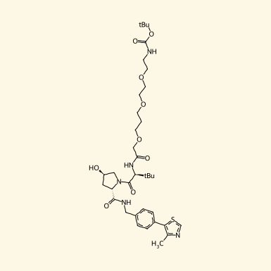 Cc1ncsc1-c1ccc(CNC(=O)[C@@H]2C[C@@H](O)CN2C(=O)[C@@H](NC(=O)COCCCOCCOCCNC(=O)OC(C)(C)C)C(C)(C)C)cc1